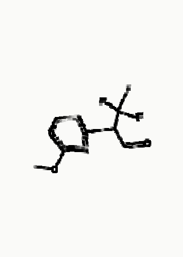 COc1cccc(C(C=O)C(F)(F)F)c1